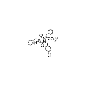 O=C(N[C@@H](Cc1ccccc1)C(=O)N[C@@H](Cc1ccccc1)C(=O)O)SCc1ccc(Cl)cc1